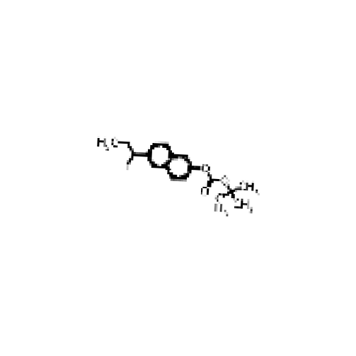 CCC(I)c1ccc2cc(OC(=O)OC(C)(C)C)ccc2c1